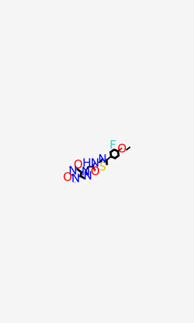 CCOc1ccc(-c2csc(NC(=O)Cn3ncc4c3c(=O)n(C)c(=O)n4C)n2)cc1F